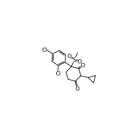 CS(=O)(=O)C1(c2ccc(Cl)cc2Cl)CCC(=O)[C](C2CC2)C1=O